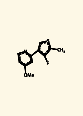 COc1ccnc(-c2csc(C)c2F)c1